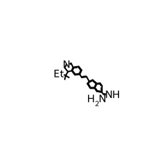 CCC(C)(C)C1CN=Cc2ccc(/C=C/c3ccc4cc(C(=N)N)ccc4c3)cc21